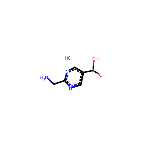 Cl.NCc1ncc(B(O)O)cn1